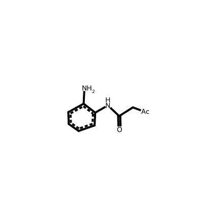 CC(=O)CC(=O)Nc1ccccc1N